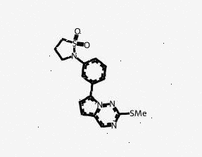 CSc1ncc2ccc(-c3cccc(N4CCCS4(=O)=O)c3)n2n1